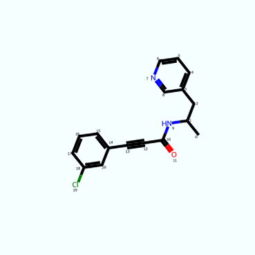 CC(Cc1cccnc1)NC(=O)C#Cc1cccc(Cl)c1